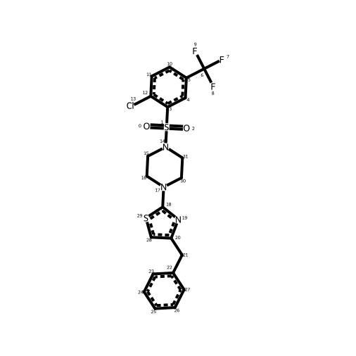 O=S(=O)(c1cc(C(F)(F)F)ccc1Cl)N1CCN(c2nc(Cc3ccccc3)cs2)CC1